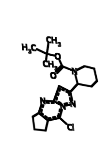 CC(C)(C)OC(=O)N1CCCCC1c1cc2nc3c(c(Cl)n2n1)CCC3